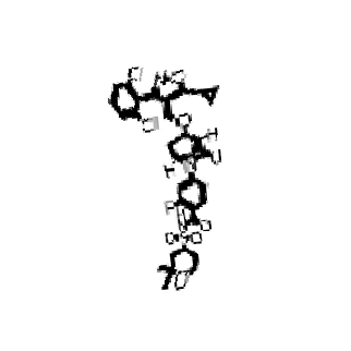 CC1(C)CC(S(=O)(=O)NC(=O)c2ccc(N3C(=O)[C@@H]4C[C@H]3C[C@H]4OCc3c(-c4c(Cl)cccc4Cl)noc3C3CC3)cc2F)CCO1